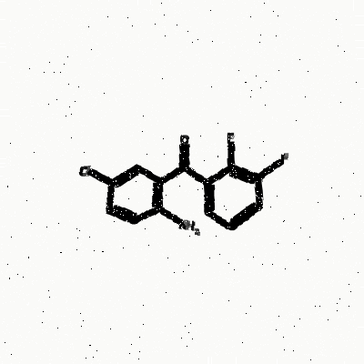 Nc1ccc(Cl)cc1C(=O)c1cccc(F)c1F